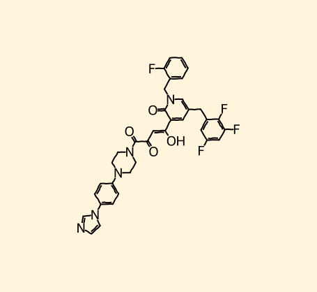 O=C(C=C(O)c1cc(Cc2cc(F)cc(F)c2F)cn(Cc2ccccc2F)c1=O)C(=O)N1CCN(c2ccc(-n3ccnc3)cc2)CC1